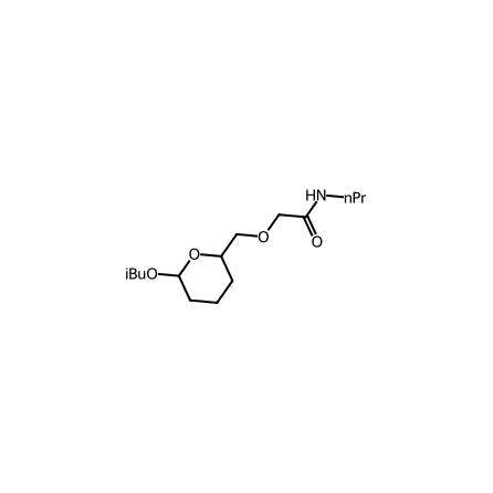 CCCNC(=O)COCC1CCCC(OCC(C)C)O1